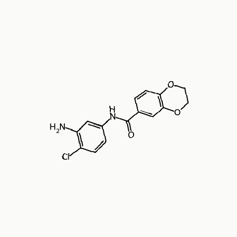 Nc1cc(NC(=O)c2ccc3c(c2)OCCO3)ccc1Cl